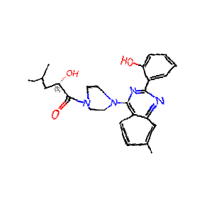 Cc1ccc2c(N3CCN(C(=O)[C@@H](O)CC(C)C)CC3)nc(-c3ccccc3O)nc2c1